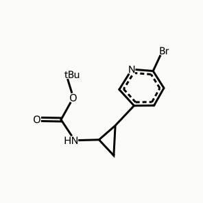 CC(C)(C)OC(=O)NC1CC1c1ccc(Br)nc1